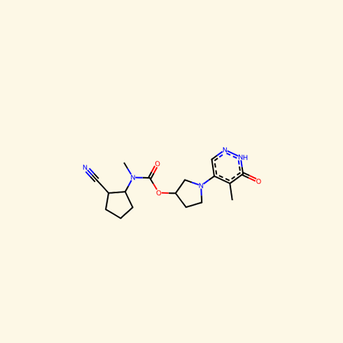 Cc1c(N2CCC(OC(=O)N(C)C3CCCC3C#N)C2)cn[nH]c1=O